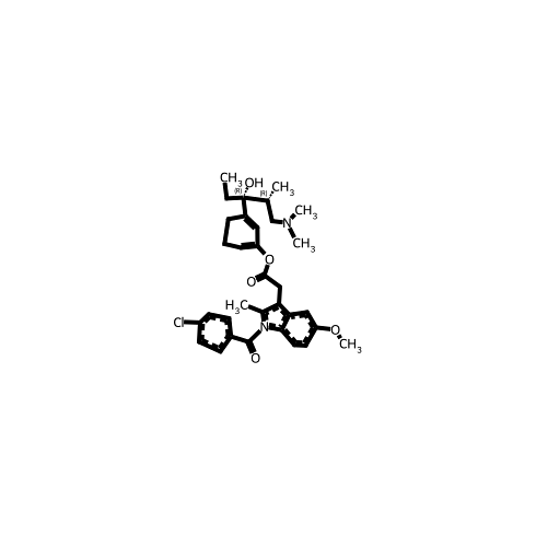 CC[C@](O)(C1=CC(OC(=O)Cc2c(C)n(C(=O)c3ccc(Cl)cc3)c3ccc(OC)cc23)=CCC1)[C@H](C)CN(C)C